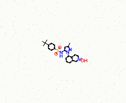 Cc1cc(NS(=O)(=O)c2ccc(C(C)(C)C)cc2)n(-c2cccc3c[n+](O)ccc23)n1